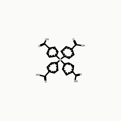 O=C(O)c1ccc(S(c2ccc(C(=O)O)cc2)(c2ccc(C(=O)O)cc2)c2ccc(C(=O)O)cc2)cc1